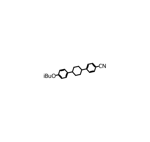 CC(C)COc1ccc(C2CCC(c3ccc(C#N)cc3)CC2)cc1